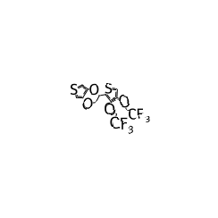 FC(F)(F)COc1csc(C2COc3cscc3O2)c1OCC(F)(F)F